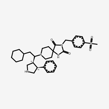 CS(=O)(=O)c1ccc(CN2C(=O)NC3(CCN(C(CC4CCCCC4)[C@@H]4CNC[C@@H]4c4ccccc4)CC3)C2=O)cc1